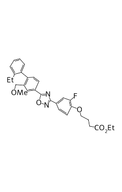 CCOC(=O)CCCOc1ccc(-c2noc(-c3ccc(-c4ccccc4CC)c(COC)c3)n2)cc1F